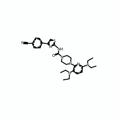 CCN(CC)c1ccc(N(CC)CC)c(N2CCN(C(=O)Nc3nc(-c4ccc(C#N)cc4)cs3)CC2)n1